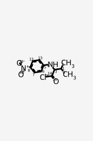 CC(C)C(Nc1ccc([N+](=O)[O-])cc1)C(=O)Cl